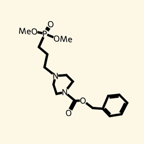 COP(=O)(CCCN1CCN(C(=O)OCc2ccccc2)CC1)OC